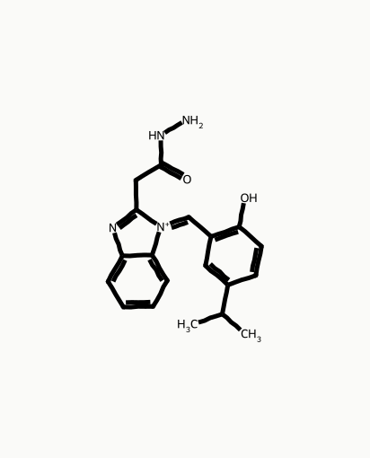 CC(C)c1ccc(O)c(C=[N+]2C(CC(=O)NN)=Nc3ccccc32)c1